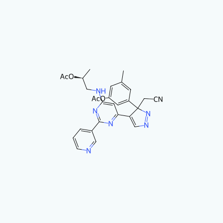 CC(=O)Oc1cc(C)cc(C2(CC#N)N=NC=C2c2cc(NC[C@H](C)OC(C)=O)nc(-c3cccnc3)n2)c1